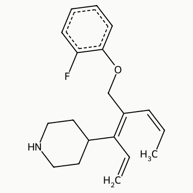 C=C/C(=C(\C=C/C)COc1ccccc1F)C1CCNCC1